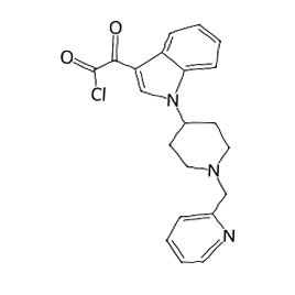 O=C(Cl)C(=O)c1cn(C2CCN(Cc3ccccn3)CC2)c2ccccc12